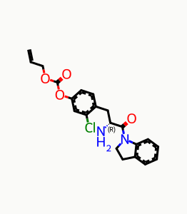 C=CCOC(=O)Oc1ccc(C[C@@H](N)C(=O)N2CCc3ccccc32)c(Cl)c1